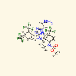 CC(C)OC(=O)N1c2ccc(C(F)(F)F)cc2C(N(Cc2cc(C(F)(F)F)cc(C(F)(F)F)c2)c2nnn(CCN)n2)CC1C